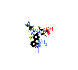 C[C@@H]1CN(c2nc(N3CC(N(C)C)C3)nc3c(F)c(-c4cccc5[nH]nc(N)c45)c(Cl)cc23)[C@@H](C)CN1C(=O)O